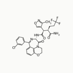 Cc1nocc1[C@H](C(=O)N[C@H]1N=C(c2cccc(Cl)c2)c2cccc3c2N(CCO3)C1=O)[C@@H](CCC(F)(F)F)C(N)=O